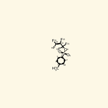 Cc1ccc(S(=O)(=O)OC(F)(F)C(F)=C(F)F)cc1